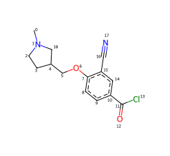 CN1CCC(COc2ccc(C(=O)Cl)cc2C#N)C1